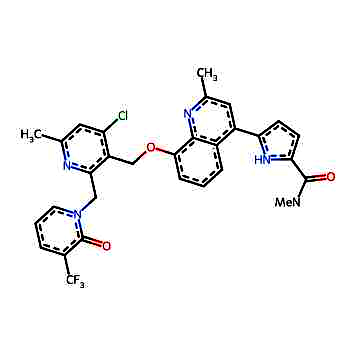 CNC(=O)c1ccc(-c2cc(C)nc3c(OCc4c(Cl)cc(C)nc4Cn4cccc(C(F)(F)F)c4=O)cccc23)[nH]1